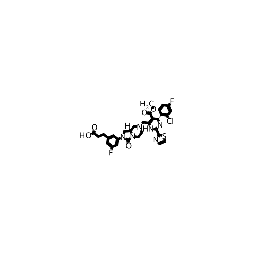 COC(=O)C1=C(CN2CCN3C(=O)N(c4cc(F)cc(CCC(=O)O)c4)C[C@@H]3C2)NC(c2nccs2)=N[C@H]1c1ccc(F)cc1Cl